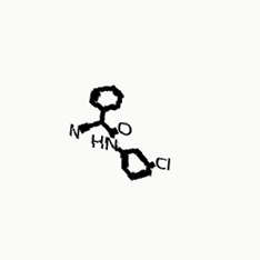 N#CC(C(=O)Nc1cccc(Cl)c1)c1ccccc1